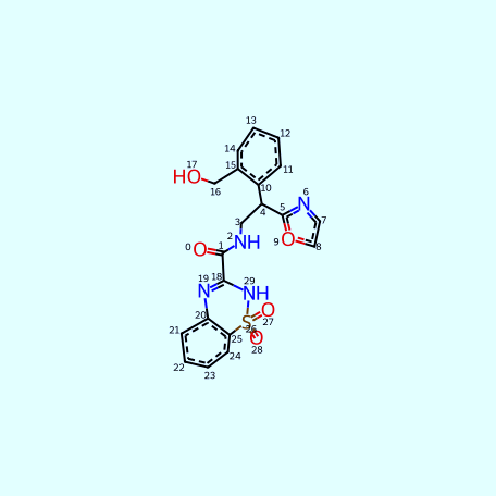 O=C(NCC(c1ncco1)c1ccccc1CO)C1=Nc2ccccc2S(=O)(=O)N1